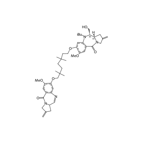 C=C1CC2C=Nc3cc(OCC(C)(C)CCC(C)(C)CCOc4cc5c(cc4OC)C(=O)N4CC(=C)C[C@H]4[C@H](CO)N5C(C)CC)c(OC)cc3C(=O)N2C1